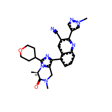 C[C@@H]1C(=O)N(C)Cc2c(-c3cccc4nc(-c5cnn(C)c5)c(C#N)cc34)nc(C3CCOCC3)n21